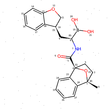 C[C@]12CC[C@](C(=O)N[C@@H](C[C@@H]3COc4ccccc43)B(O)O)(O1)c1ccccc12